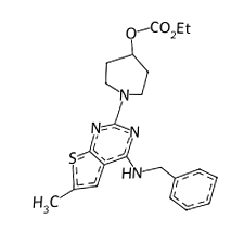 CCOC(=O)OC1CCN(c2nc(NCc3ccccc3)c3cc(C)sc3n2)CC1